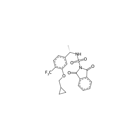 C[C@H](NS(=O)(=O)N1C(=O)c2ccccc2C1=O)c1ccc(C(F)(F)F)c(OCC2CC2)c1